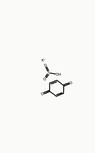 O=C1C=CC(=O)C=C1.O=[S-](=O)O.[K+]